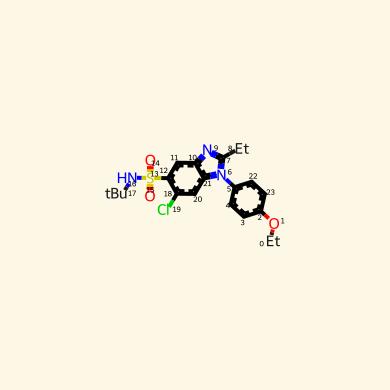 CCOc1ccc(-n2c(CC)nc3cc(S(=O)(=O)NC(C)(C)C)c(Cl)cc32)cc1